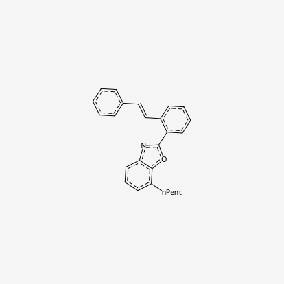 CCCCCc1cccc2nc(-c3ccccc3C=Cc3ccccc3)oc12